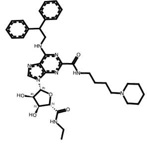 CCNC(=O)[C@H]1O[C@@H](n2cnc3c(NCC(c4ccccc4)c4ccccc4)nc(C(=O)NCCCCN4CCCCC4)nc32)[C@H](O)[C@@H]1O